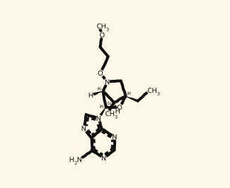 CC[C@@]12CN(OCCOC)[C@@H]([C@H](n3cnc4c(N)ncnc43)O1)[C@@H]2C